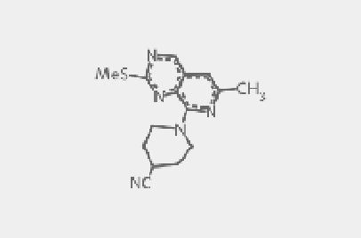 CSc1ncc2cc(C)nc(N3CCC(C#N)CC3)c2n1